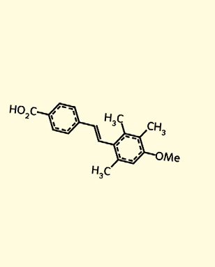 COc1cc(C)c(C=Cc2ccc(C(=O)O)cc2)c(C)c1C